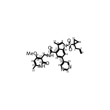 C=CCC1(S(=O)(=O)n2cc(C)c3c(C(=O)NCc4c(OC)cc(C)[nH]c4=O)cc(-c4cncnc4)cc32)CC1